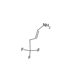 NC=CCC(F)(F)F